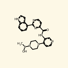 CB(O)N1CCN(c2ccncc2NC(=O)c2ccnc(-c3cccc4[nH]ccc34)n2)CC1